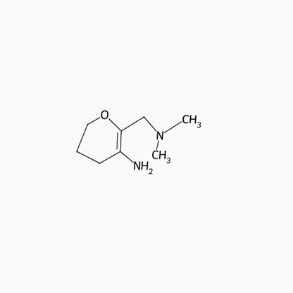 CN(C)CC1=C(N)CCCO1